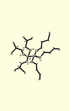 CCCCO[Si](OCCCC)(OCCCC)[Si](OCC(C)C)(OCC(C)C)OCC(C)C